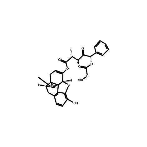 C[C@H](NC(=O)[C@@H](OC(=O)OC(C)(C)C)c1ccccc1)C(=O)OC1=CC[C@@]2(O)[C@H]3Cc4ccc(O)c5c4[C@@]2(CCN3C)[C@H]1O5